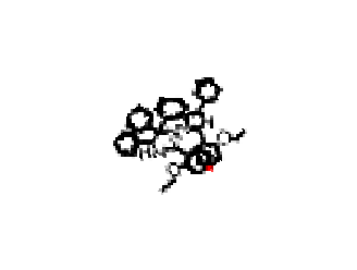 CCOc1ccccc1-c1nc(-c2ccccc2)cn1N1C(c2ccccc2OCC)NC(c2ccccc2)C1(c1ccccc1)c1ccccc1